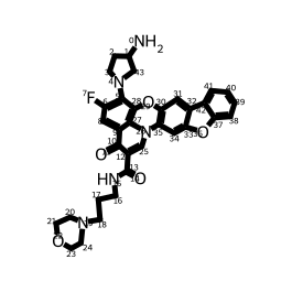 NC1CCN(c2c(F)cc3c(=O)c(C(=O)NCCCN4CCOCC4)cn4c3c2Oc2cc3c(cc2-4)oc2ccccc23)C1